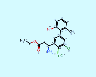 CCOC(=O)C[C@H](N)c1cc(-c2c(C)cccc2O)cc(Cl)c1F.Cl